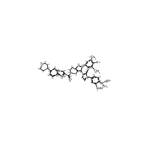 CNc1cc(-n2ccn(-c3c4c(nn3-c3cc(C)c(F)c(C)c3)CCN(C(=O)c3cc5cc(C6CCOCC6)ccc5[nH]3)C4)c2=O)ccc1P(C)C(C)(C)C